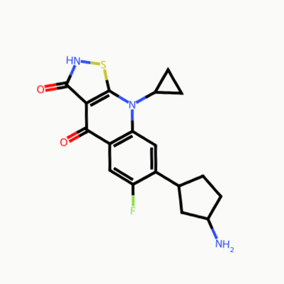 NC1CCC(c2cc3c(cc2F)c(=O)c2c(=O)[nH]sc2n3C2CC2)C1